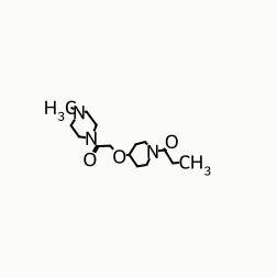 CCC(=O)N1CCC(OCC(=O)N2CCN(C)CC2)CC1